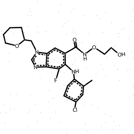 Cc1cc(Cl)ccc1Nc1c(C(=O)NOCCO)cc2c(ncn2CC2CCCCO2)c1F